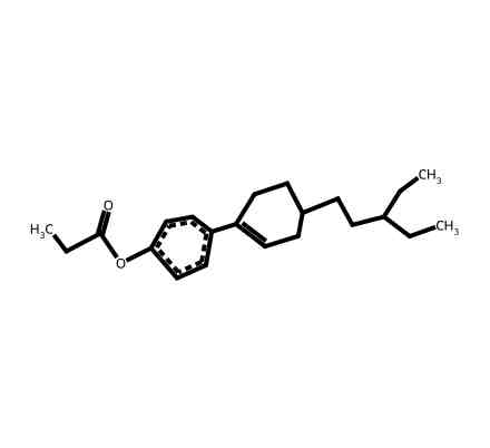 CCC(=O)Oc1ccc(C2=CCC(CCC(CC)CC)CC2)cc1